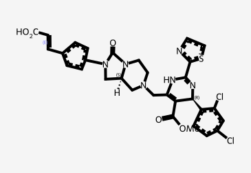 COC(=O)C1=C(CN2CCN3C(=O)N(c4ccc(/C=C/C(=O)O)cc4)C[C@@H]3C2)NC(c2nccs2)=N[C@H]1c1ccc(Cl)cc1Cl